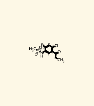 CCC(=O)c1cc(NS(C)(=O)=O)c(F)cc1Cl